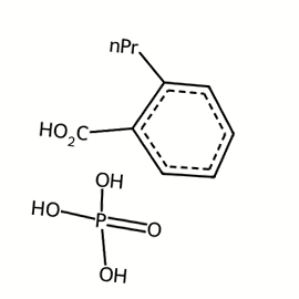 CCCc1ccccc1C(=O)O.O=P(O)(O)O